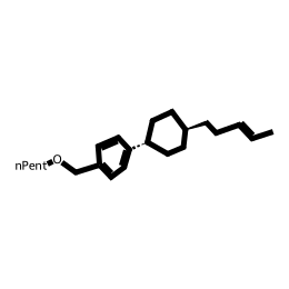 CC=CCC[C@H]1CC[C@H](c2ccc(COCCCCC)cc2)CC1